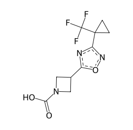 O=C(O)N1CC(c2nc(C3(C(F)(F)F)CC3)no2)C1